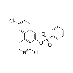 O=S(=O)(Oc1cc2ccc(Cl)cc2c2ccnc(Cl)c12)c1ccccc1